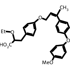 CCOC(Cc1ccc(OCC=C(C)c2ccc(Oc3ccc(OC)cc3)cc2)cc1)C(=O)O